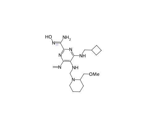 C=Nc1nc(/C(N)=N/O)nc(NCC2CCC2)c1NCN1CCCCC1COC